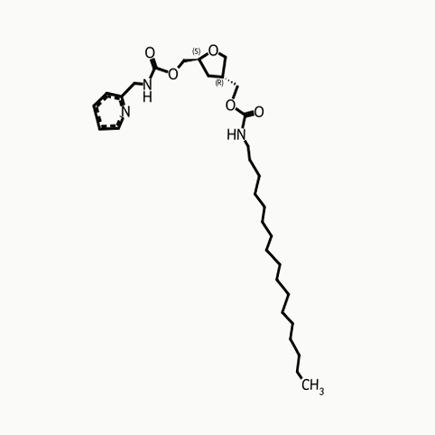 CCCCCCCCCCCCCCCCCNC(=O)OC[C@H]1CO[C@H](COC(=O)NCc2ccccn2)C1